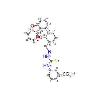 O=C(O)c1cccc(NC(=S)NN=Cc2cccc(-c3cccc4oc5ccccc5c34)c2O)c1